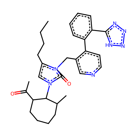 CCCCc1cn(C2C(C)CCCCC2C(C)=O)c(=O)n1Cc1cnccc1-c1ccccc1-c1nnn[nH]1